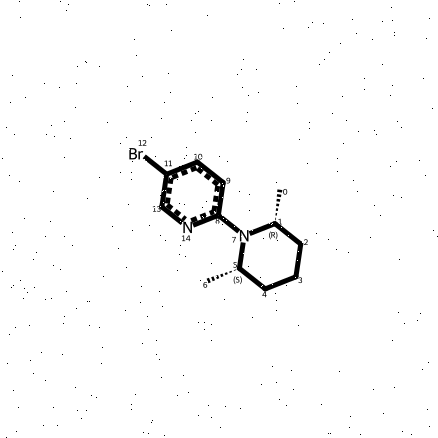 C[C@@H]1CCC[C@H](C)N1c1ccc(Br)cn1